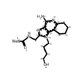 CNC(=O)NCc1nc2c(N)nc3c(c2n1CCCCO)CCCC3